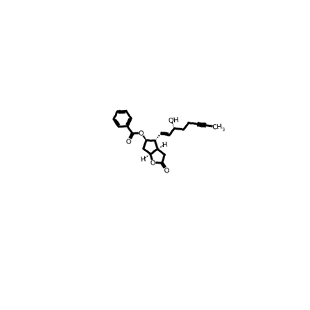 CC#CCC[C@@H](O)C=C[C@@H]1[C@H]2CC(=O)O[C@H]2C[C@H]1OC(=O)c1ccccc1